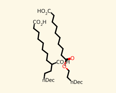 CCCCCCCCCCCCC(CCCCCCCC(=O)O)C(=O)O.CCCCCCCCCCCCOC(=O)CCCCCCCCC(=O)O